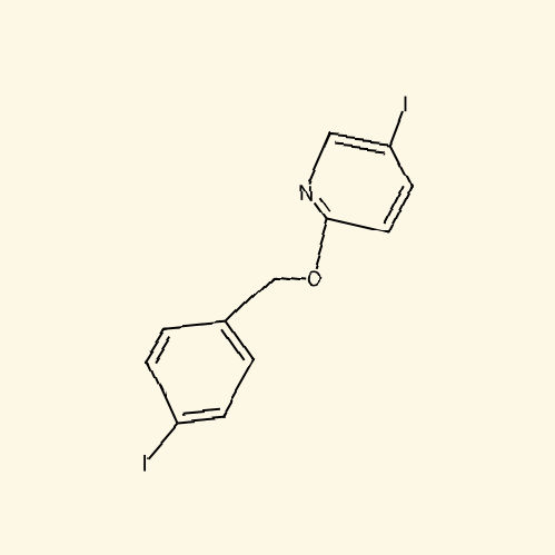 Ic1ccc(COc2ccc(I)cn2)cc1